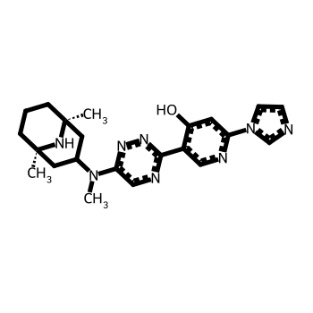 CN(c1cnc(-c2cnc(-n3ccnc3)cc2O)nn1)C1C[C@]2(C)CCC[C@](C)(C1)N2